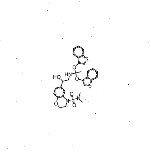 CN(C)S(=O)(=O)N1CCOc2ccc(C(O)CNC(C)(Oc3csc4ccccc34)Oc3csc4ccccc34)cc21